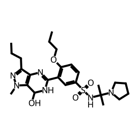 CCCOc1ccc(S(=O)(=O)NC(C)(C)N2CCCC2)cc1C1=Nc2c(CCC)nn(C)c2C(O)N1